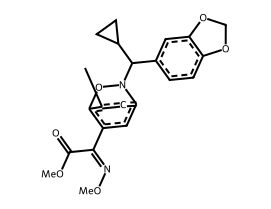 CON=C(C(=O)OC)c1cc2cc(C)c1ON2C(c1ccc2c(c1)OCO2)C1CC1